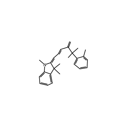 C=C(/C=C/C=C1/N(C)c2ccccc2C1(C)C)C(C)(C)c1ccccc1C